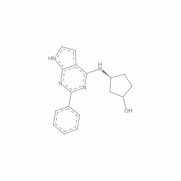 OC1CC[C@H](Nc2nc(-c3ccccc3)nc3[nH]ccc23)C1